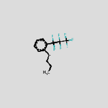 CCC[CH]c1ccccc1C(F)(F)C(F)(F)C(F)(F)F